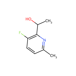 Cc1ccc(F)c(C(C)O)n1